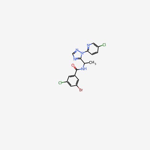 CC(NC(=O)c1cc(Cl)cc(Br)c1)c1ncnn1-c1ccc(Cl)cn1